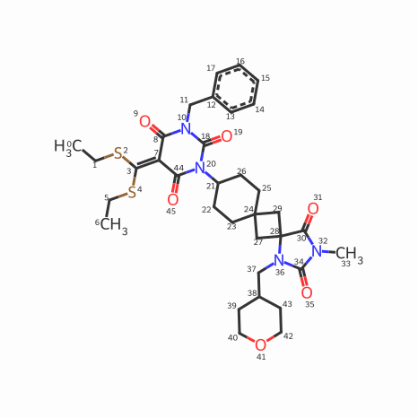 CCSC(SCC)=C1C(=O)N(Cc2ccccc2)C(=O)N(C2CCC3(CC2)CC2(C3)C(=O)N(C)C(=O)N2CC2CCOCC2)C1=O